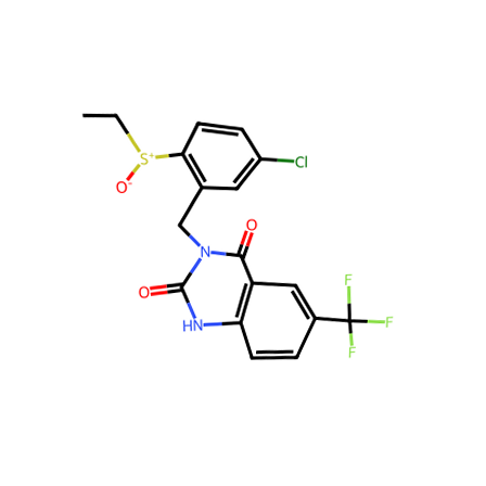 CC[S+]([O-])c1ccc(Cl)cc1Cn1c(=O)[nH]c2ccc(C(F)(F)F)cc2c1=O